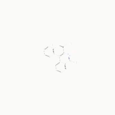 C=C(C)c1c(-c2cccc(C)c2)c2ccccc2c(C)[n+]1[O-]